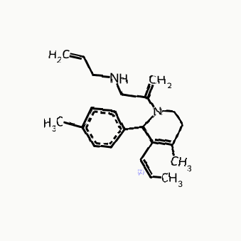 C=CCNCC(=C)N1CCC(C)=C(/C=C\C)C1c1ccc(C)cc1